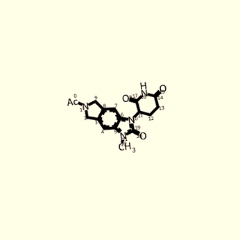 CC(=O)N1Cc2cc3c(cc2C1)n(C1CCC(=O)NC1=O)c(=O)n3C